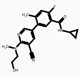 Cc1cc(F)c(C(=O)NC2CC2)cc1-c1cnc(N(C)CCO)c(C#N)c1